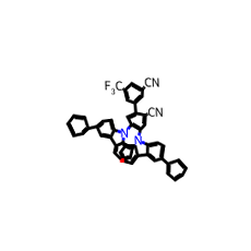 N#Cc1cc(-c2cc(-n3c4ccccc4c4cc(-c5ccccc5)ccc43)c(-n3c4ccccc4c4cc(-c5ccccc5)ccc43)cc2C#N)cc(C(F)(F)F)c1